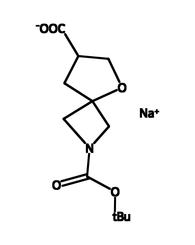 CC(C)(C)OC(=O)N1CC2(CC(C(=O)[O-])CO2)C1.[Na+]